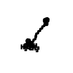 CC(C)(C)[Si](OCCCCC#CCCCCCCCCCOC1CCCCO1)(c1ccccc1)c1ccccc1